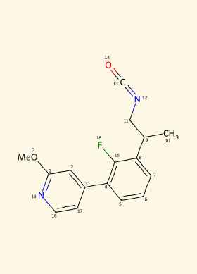 COc1cc(-c2cccc(C(C)CN=C=O)c2F)ccn1